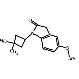 CCCOc1cnc2c(c1)CC(=O)N2C1CC(C)(O)C1